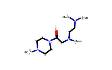 CCCCCCCCCN(CCCCCCCCC)CCN(CCCCCCCCC)CC(=O)N1CCN(C(=O)O)CC1